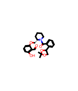 CC1(C)OCC(c2ccccc2C(=O)N2CCCC[C@H]2COc2cccc(O)c2C=O)O1